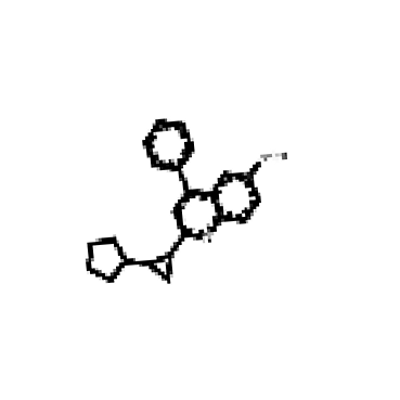 CCCCCCc1ccc2nc(C3CC3C3CCCC3)cc(-c3ccccc3)c2c1